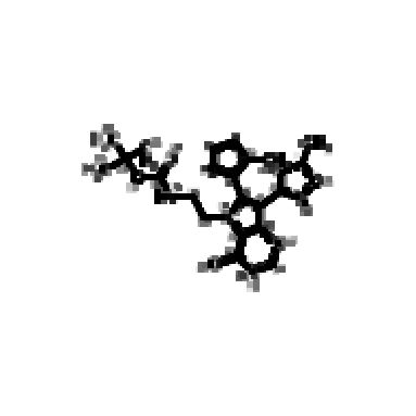 Cc1nc(-c2c(-c3sccc3C)n(CCNC(=O)OC(C)(C)C)c3c(=O)[nH]cnc23)no1